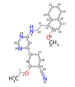 CCOc1cc(-c2cc(NCCc3c(OC)ccc4ccccc34)ncn2)ccc1C#N